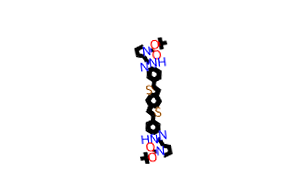 CC(C)(C)OC(=O)N1CCCC1c1nc2cc(-c3cc4cc5sc(-c6ccc7[nH]c(C8CCCN8C(=O)OC(C)(C)C)nc7c6)cc5cc4s3)ccc2[nH]1